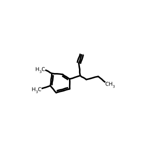 [C]#CC(CCC)c1ccc(C)c(C)c1